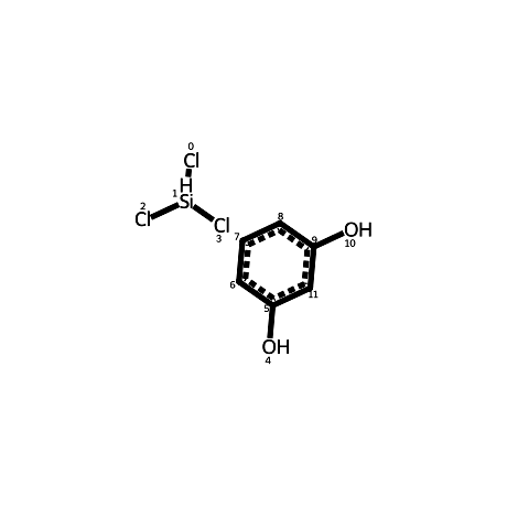 Cl[SiH](Cl)Cl.Oc1cccc(O)c1